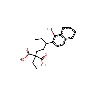 CCC(CCC(CC)(C(=O)O)C(=O)O)c1ccc2ccccc2c1O